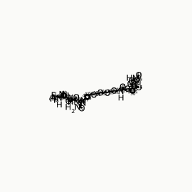 NC(=O)c1nn(-c2ccc(COCCOCCOCCOCCNC(=O)COc3cccc4c3C(=O)N(C3CCC(=O)NC3=O)C4=O)cc2)cc1NC(=O)c1coc(-c2ccnc(NCC(F)(F)F)c2)n1